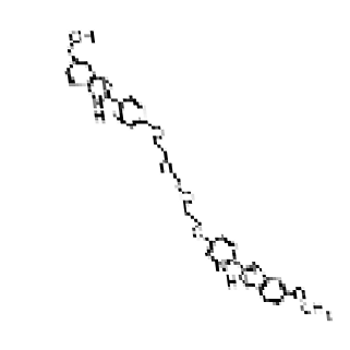 COc1ccc2[nH]c(-c3ccc(OCCOCCOCCOc4ccc(-c5nc6cc(CO)ccc6[nH]5)nc4)cn3)nc2c1